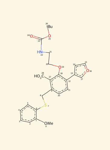 COc1ccccc1SCc1ccc(-c2ccoc2)c(OCCNC(=O)OC(C)(C)C)c1C(=O)O